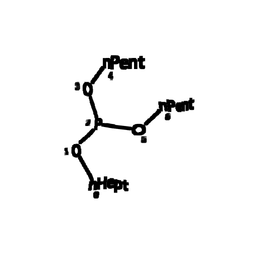 CCCCCCCOP(OCCCCC)OCCCCC